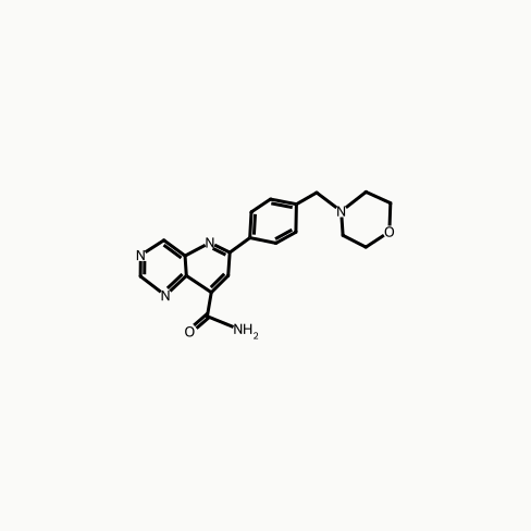 NC(=O)c1cc(-c2ccc(CN3CCOCC3)cc2)nc2cncnc12